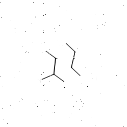 NC(CO)C(=O)O.O=C(O)CCC(=O)O